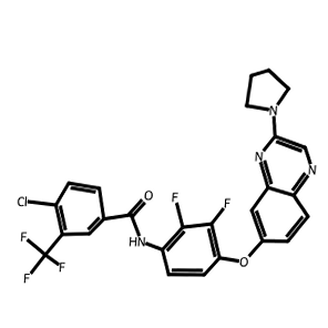 O=C(Nc1ccc(Oc2ccc3ncc(N4CCCC4)nc3c2)c(F)c1F)c1ccc(Cl)c(C(F)(F)F)c1